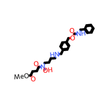 COC(=O)CCC(=O)N(O)CCCCNCc1ccc(COC(=O)NCc2ccccc2)cc1